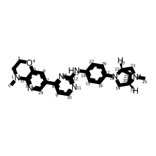 CN1CCOc2cc(-c3ccnc(Nc4ccc(N5C[C@@H]6C[C@H]5CN6C)cc4)n3)cnc21